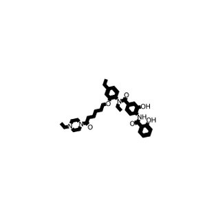 CCc1ccc(N(CC)C(=O)c2ccc(NC(=O)c3ccccc3O)c(O)c2)c(OCCCCCC(=O)N2CCN(CC)CC2)c1